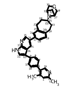 Cc1cc(C)c(-c2ccc(-c3c[nH]c4ncc(-c5ccc6c(c5)CC[C@@H](N5C7COCC5C7)CC6)cc34)cc2)cn1